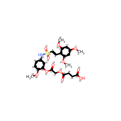 COc1cc(OC)c(/C=C/S(=O)(=O)Nc2ccc(OC)c(OC(=O)COC(=O)CCC(=O)O)c2)c(OC)c1